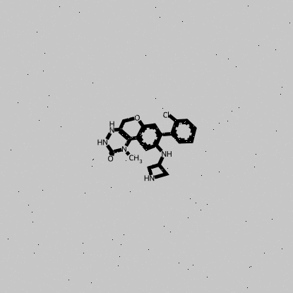 CN1C(=O)NNC2=C1c1cc(NC3CNC3)c(-c3ccccc3Cl)cc1OC2